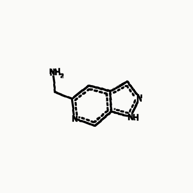 NCc1cc2cn[nH]c2cn1